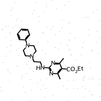 CCOC(=O)c1c(C)nc(NCCN2CCN(c3ccccc3)CC2)nc1C